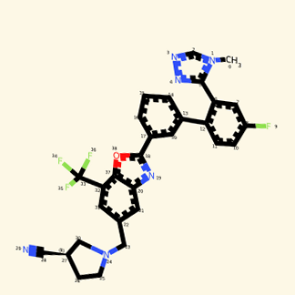 Cn1cnnc1-c1cc(F)ccc1-c1cccc(-c2nc3cc(CN4CC[C@@H](C#N)C4)cc(C(F)(F)F)c3o2)c1